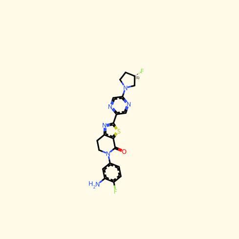 Nc1cc(N2CCc3nc(-c4cnc(N5CC[C@H](F)C5)cn4)sc3C2=O)ccc1F